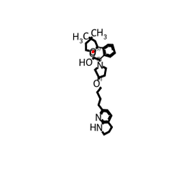 CC1(C)CCO[C@H](c2ccccc2[C@H](C(=O)O)N2CC[C@@H](OCCCCc3ccc4c(n3)NCCC4)C2)C1